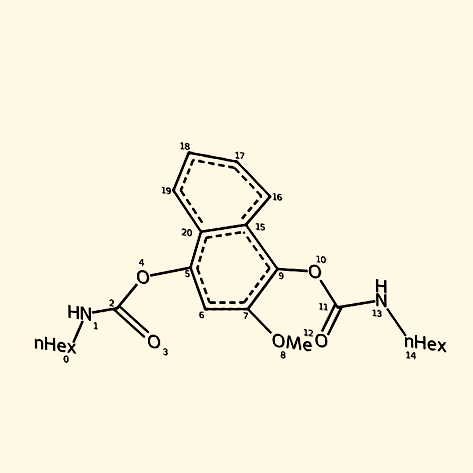 CCCCCCNC(=O)Oc1cc(OC)c(OC(=O)NCCCCCC)c2ccccc12